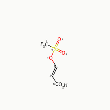 O=C(O)C=COS(=O)(=O)C(F)(F)F